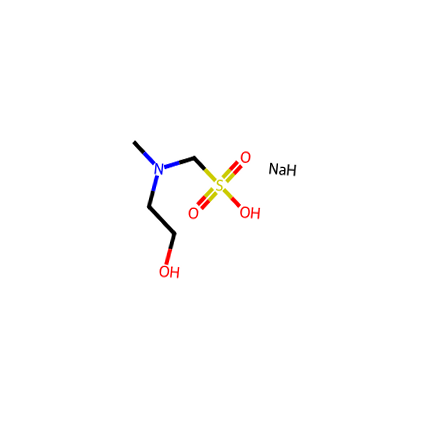 CN(CCO)CS(=O)(=O)O.[NaH]